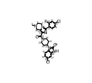 CN1CCn2c(-c3ccc(Cl)cc3F)nc(C(=O)N3CCC(n4c(=O)[nH]c5cc(Cl)ccc54)CC3)c2C1